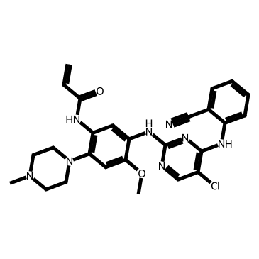 C=CC(=O)Nc1cc(Nc2ncc(Cl)c(Nc3ccccc3C#N)n2)c(OC)cc1N1CCN(C)CC1